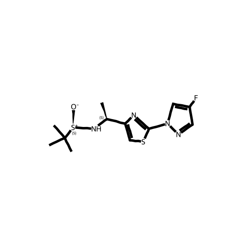 C[C@H](N[S@+]([O-])C(C)(C)C)c1csc(-n2cc(F)cn2)n1